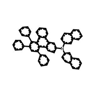 c1ccc(-c2cc(-c3ccccc3)c3c4ccc(N(c5ccc6ccccc6c5)c5ccc6ccccc6c5)cc4c4ccccc4c3c2-c2ccccc2)cc1